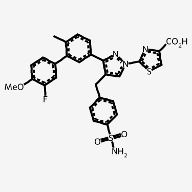 COc1ccc(-c2cc(-c3nn(-c4nc(C(=O)O)cs4)cc3Cc3ccc(S(N)(=O)=O)cc3)ccc2C)cc1F